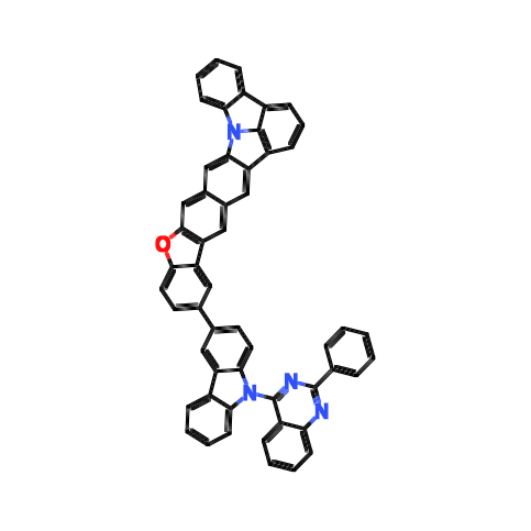 c1ccc(-c2nc(-n3c4ccccc4c4cc(-c5ccc6oc7cc8cc9c(cc8cc7c6c5)c5cccc6c7ccccc7n9c65)ccc43)c3ccccc3n2)cc1